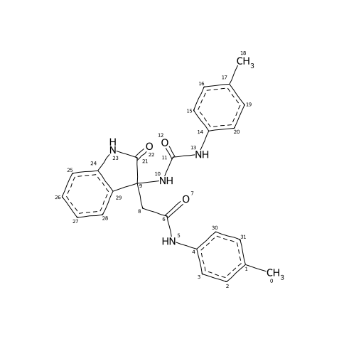 Cc1ccc(NC(=O)CC2(NC(=O)Nc3ccc(C)cc3)C(=O)Nc3ccccc32)cc1